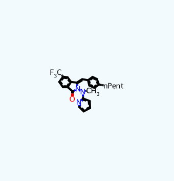 CCCCCc1ccc(/C=C2/c3cc(C(F)(F)F)ccc3C(=O)N2N(C)c2ccccn2)cc1